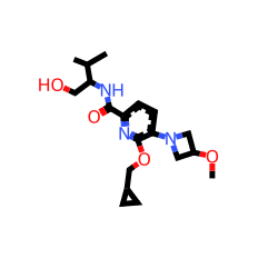 COC1CN(c2ccc(C(=O)NC(CO)C(C)C)nc2OCC2CC2)C1